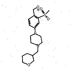 CS(=O)(=O)c1cc(N2CCN(CC3CCCOC3)CC2)ccc1CO